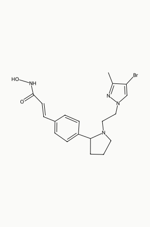 Cc1nn(CCN2CCCC2c2ccc(C=CC(=O)NO)cc2)cc1Br